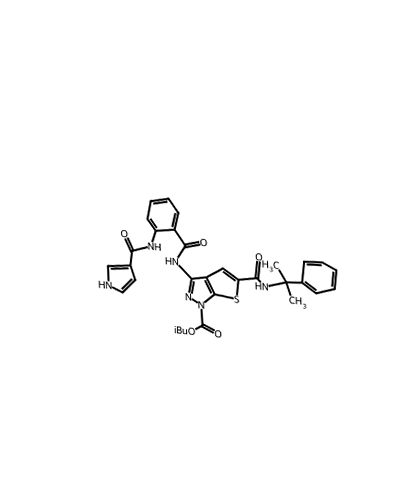 CC(C)COC(=O)n1nc(NC(=O)c2ccccc2NC(=O)c2cc[nH]c2)c2cc(C(=O)NC(C)(C)c3ccccc3)sc21